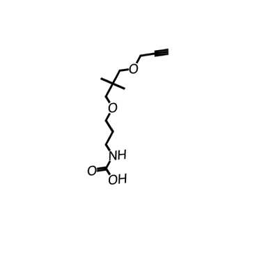 C#CCOCC(C)(C)COCCCNC(=O)O